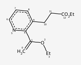 C=C(OCC)c1ncccc1CCC(=O)OCC